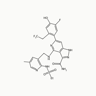 CCS(=O)(=O)Nc1ncc(C)cc1CNc1nc(-c2cc(F)c(O)cc2CC(F)(F)F)cc2[nH]nc(C(N)=O)c12